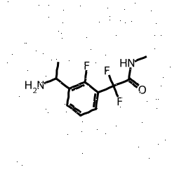 CNC(=O)C(F)(F)c1cccc(C(C)N)c1F